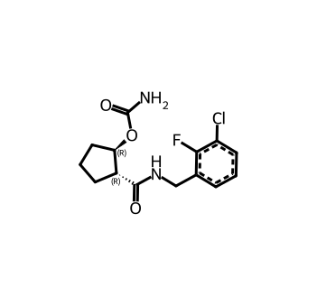 NC(=O)O[C@@H]1CCC[C@H]1C(=O)NCc1cccc(Cl)c1F